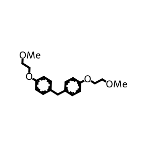 COCCOc1ccc(Cc2ccc(OCCOC)cc2)cc1